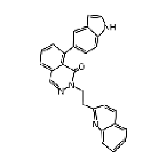 O=c1c2c(-c3ccc4[nH]ccc4c3)cccc2cnn1CCc1ccc2ccccc2n1